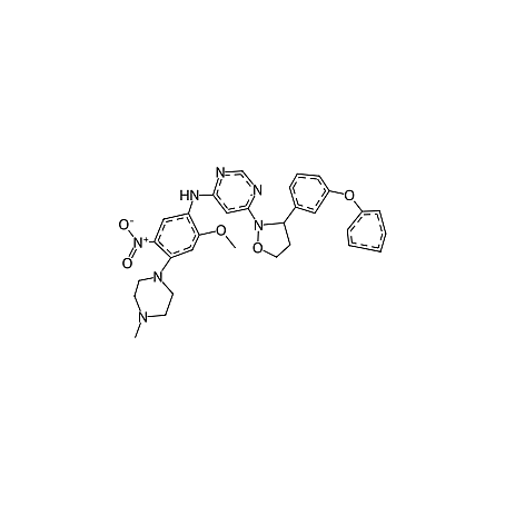 COc1cc(N2CCN(C)CC2)c([N+](=O)[O-])cc1Nc1cc(N2OCCC2c2cccc(Oc3ccccc3)c2)ncn1